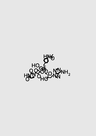 COC1C(OP(=O)(OC[C@H]2O[C@@H](n3cnc4c(N)ncnc43)CC2O)SCc2ccc(NC(C)=O)cc2)[C@@H](CO)O[C@H]1n1ccc(=O)[nH]c1=O